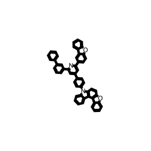 c1ccc(-c2cccc(-c3cc(-c4ccc(-n5c6ccccc6c6c7c(ccc65)oc5ccccc57)cc4)cc(-c4ccc5oc6ccccc6c5c4)n3)c2)cc1